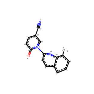 Cc1cccc2ccc(-n3cc(C#N)ccc3=O)nc12